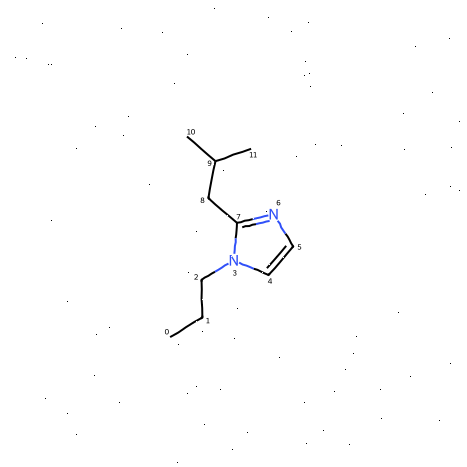 CCCn1ccnc1CC(C)C